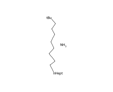 CCCCCCCCCCCCCCCC(C)(C)C.N